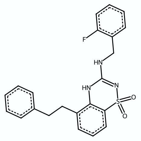 O=S1(=O)N=C(NCc2ccccc2F)Nc2c(CCc3ccccc3)cccc21